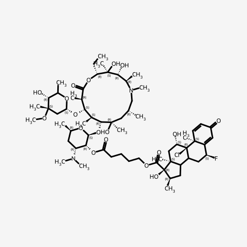 CC[C@H]1OC(=O)[C@H](C)[C@@H](O[C@@H]2C[C@](C)(OC)[C@H](O)C(C)O2)[C@H](C)[C@@H](O[C@@H]2O[C@H](C)C[C@@H](N(C)C)[C@H]2OC(=O)CCCCOC(=O)[C@@]2(O)[C@H](C)CC3C4C[C@H](F)C5=CC(=O)C=C[C@]5(C)[C@@]4(Cl)[C@@H](O)C[C@@]32C)[C@](C)(O)C[C@@H](C)CN(C)[C@H](C)[C@@H](O)[C@]1(C)O